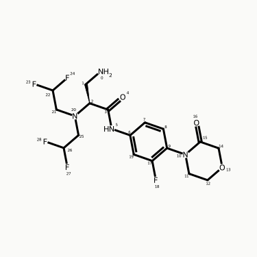 NC[C@@H](C(=O)Nc1ccc(N2CCOCC2=O)c(F)c1)N(CC(F)F)CC(F)F